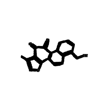 Cc1coc2c1C(=O)C(=O)c1c-2ccc2c(CO)cccc12